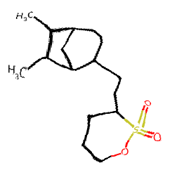 CC1C2CC(CC3CCCOS3(=O)=O)C(C2)C1C